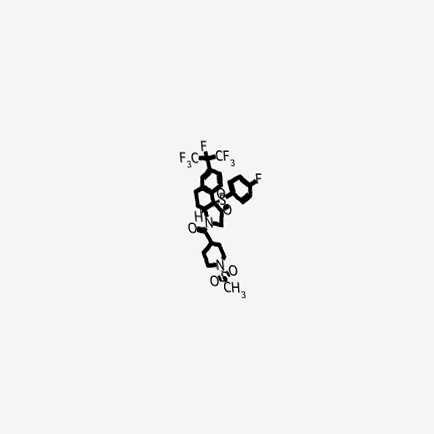 CS(=O)(=O)N1CCC(C(=O)N2CC[C@@]3(S(=O)(=O)c4ccc(F)cc4)c4ccc(C(F)(C(F)(F)F)C(F)(F)F)cc4CC[C@@H]23)CC1